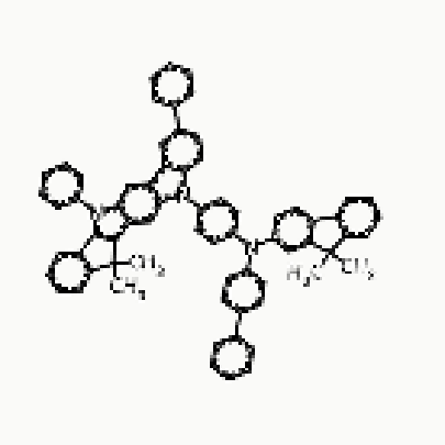 CC1(C)c2ccccc2-c2ccc(N(c3ccc(-c4ccccc4)cc3)c3ccc(-n4c5ccc(-c6ccccc6)cc5c5cc6c(cc54)c4c(n6-c5ccccc5)-c5ccccc5C4(C)C)cc3)cc21